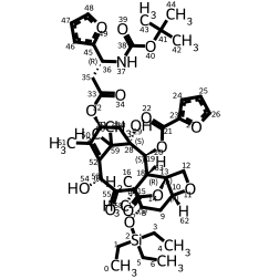 CC[Si](CC)(CC)O[C@H]1C[C@H]2OC[C@@]2(OC(C)=O)[C@H]2[C@H](OC(=O)c3ccco3)[C@]3(O)C[C@H](OC(=O)C[C@@H](NC(=O)OC(C)(C)C)c4ccco4)C(C)=C([C@@H](O)C(=O)[C@]12C)C3(C)C